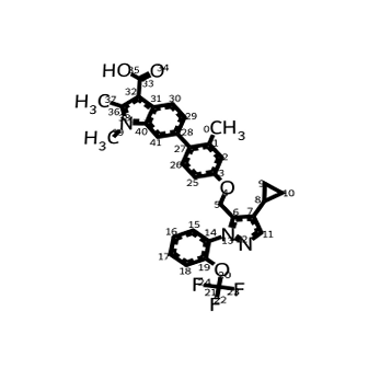 Cc1cc(OCc2c(C3CC3)cnn2-c2ccccc2OC(F)(F)F)ccc1-c1ccc2c(C(=O)O)c(C)n(C)c2c1